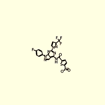 O=C(Nc1nc(-n2ccc(C(F)(F)F)n2)nc2c1cnn2-c1ccc(F)cc1)c1ccc([N+](=O)[O-])s1